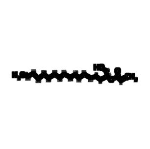 C=CC(=O)OC(CO)CCCCCCCCCCCCCCCC